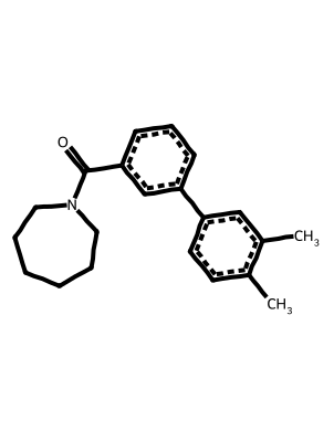 Cc1ccc(-c2cccc(C(=O)N3CCCCCC3)c2)cc1C